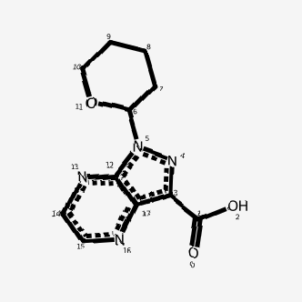 O=C(O)c1nn(C2CCCCO2)c2nccnc12